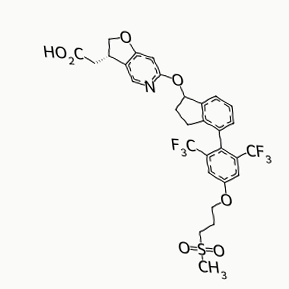 CS(=O)(=O)CCCOc1cc(C(F)(F)F)c(-c2cccc3c2CCC3Oc2cc3c(cn2)[C@H](CC(=O)O)CO3)c(C(F)(F)F)c1